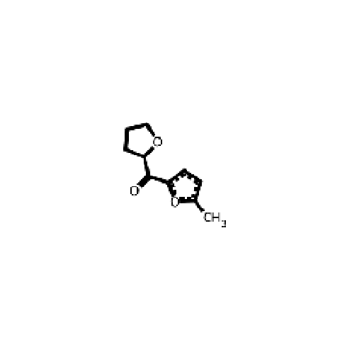 Cc1ccc(C(=O)C2CCCO2)o1